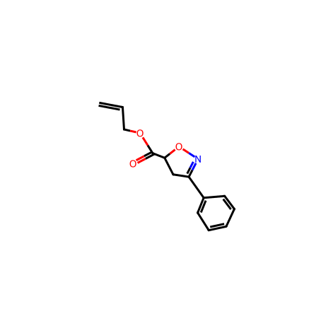 C=CCOC(=O)C1CC(c2ccccc2)=NO1